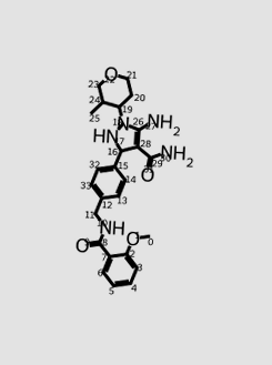 COc1ccccc1C(=O)NCc1ccc(C2NN(C3CCOCC3C)C(N)=C2C(N)=O)cc1